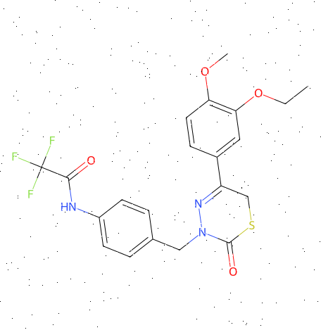 CCOc1cc(C2=NN(Cc3ccc(NC(=O)C(F)(F)F)cc3)C(=O)SC2)ccc1OC